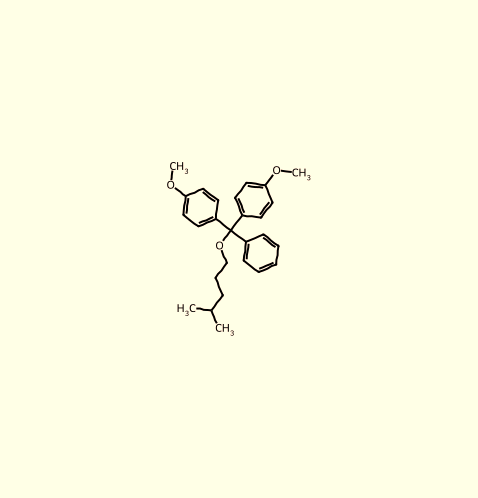 COc1ccc(C(OCCCC(C)C)(c2ccccc2)c2ccc(OC)cc2)cc1